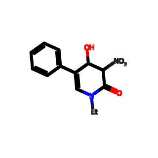 CCN1C=C(c2ccccc2)C(O)C([N+](=O)[O-])C1=O